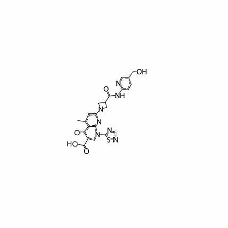 Cc1cc(N2CC(C(=O)Nc3ccc(CO)cn3)C2)nc2c1c(=O)c(C(=O)O)cn2-c1ncns1